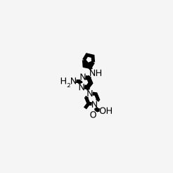 CC1CN(c2cc(NC3CC4CCC3C4)nc(N)n2)CCN1C(=O)O